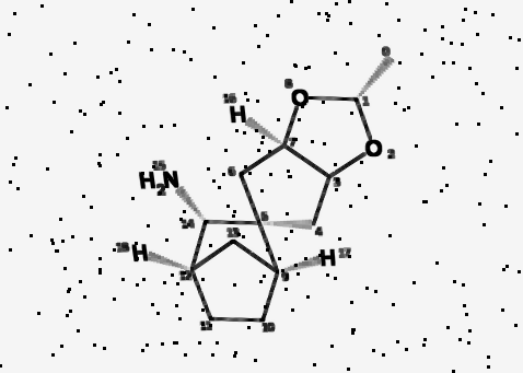 C[C@@H]1OC2C[C@]3(C[C@H]2O1)[C@H]1CC[C@H](C1)[C@@H]3N